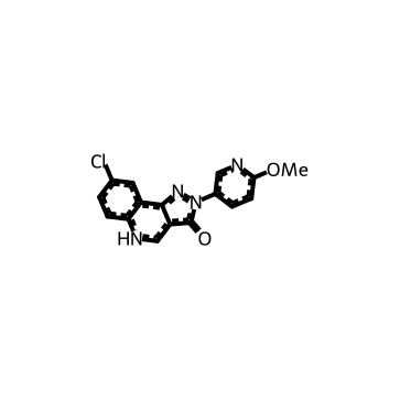 COc1ccc(-n2nc3c4cc(Cl)ccc4[nH]cc-3c2=O)cn1